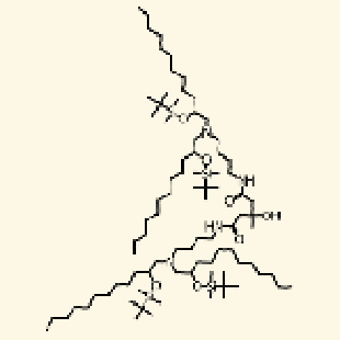 CCCCCCCCCCC(CN(CCCCNC(=O)CC(C)(O)CC(=O)NCCCCN(CC(CCCCCCCCCC)O[Si](C)(C)C(C)(C)C)CC(CCCCCCCCCC)O[Si](C)(C)C(C)(C)C)CC(CCCCCCCCCC)O[Si](C)(C)C(C)(C)C)O[Si](C)(C)C(C)(C)C